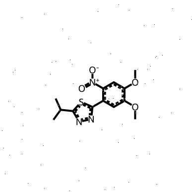 COc1cc(-c2nnc(C(C)C)s2)c([N+](=O)[O-])cc1OC